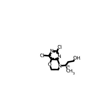 C[C@H](CCO)N1CCOc2c(Cl)nc(Cl)nc21